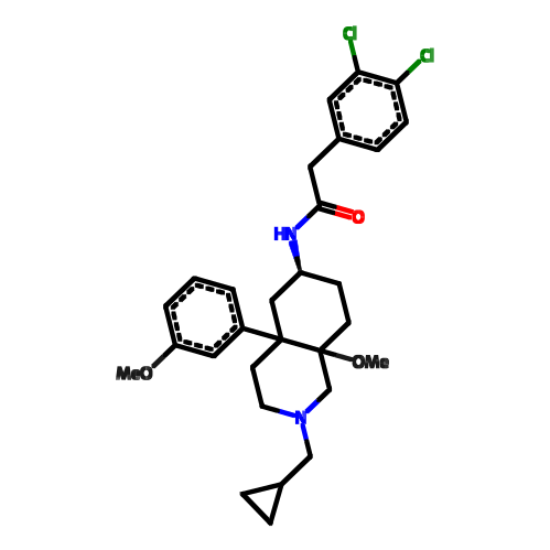 COc1cccc(C23CCN(CC4CC4)CC2(OC)CC[C@H](NC(=O)Cc2ccc(Cl)c(Cl)c2)C3)c1